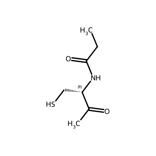 CCC(=O)N[C@@H](CS)C(C)=O